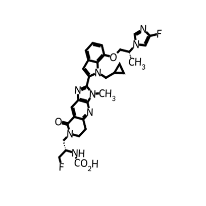 C[C@H](COc1cccc2cc(-c3nc4cc5c(nc4n3C)CCN(C[C@@H](CF)NC(=O)O)C5=O)n(CC3CC3)c12)n1cnc(F)c1